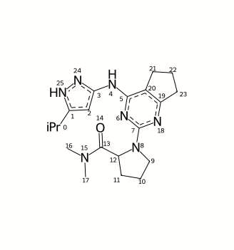 CC(C)c1cc(Nc2nc(N3CCCC3C(=O)N(C)C)nc3c2CCC3)n[nH]1